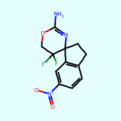 NC1=NC2(CCc3ccc([N+](=O)[O-])cc32)C(F)(F)CO1